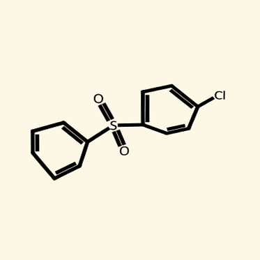 O=S(=O)(c1ccccc1)c1ccc(Cl)cc1